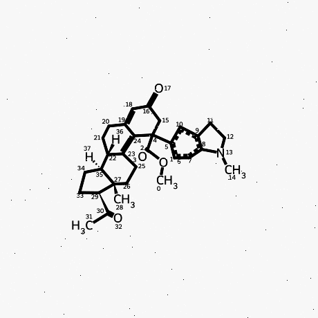 COC(=O)C1(c2ccc3c(c2)CCN3C)CC(=O)C=C2CC[C@@H]3C(=C21)CC[C@]1(C)[C@@H](C(C)=O)CC[C@@H]31